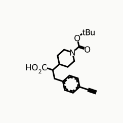 C#Cc1ccc(CC(C(=O)O)C2CCN(C(=O)OC(C)(C)C)CC2)cc1